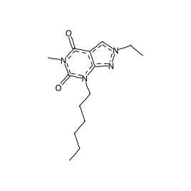 CCCCCCn1c(=O)n(C)c(=O)c2cn(CC)nc21